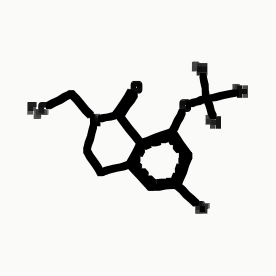 [2H]C([2H])([2H])Oc1cc(Br)cc2c1C(=O)N(CC(F)(F)F)CC2